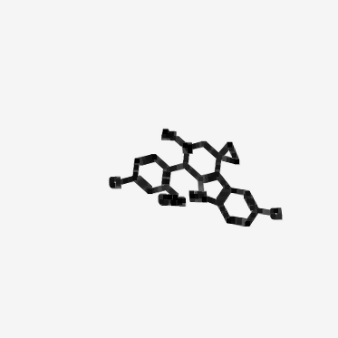 COc1cc(Cl)ccc1C1c2[nH]c3ccc(Cl)cc3c2C2(CC2)CN1C(C)=O